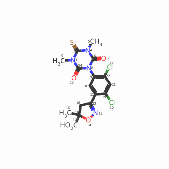 Cn1c(=S)n(C)c(=O)n(-c2cc(C3=NOC(C)(C(=O)O)C3)c(Cl)cc2Cl)c1=O